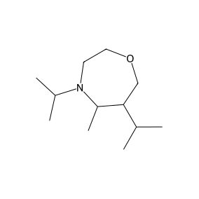 CC(C)C1COCCN(C(C)C)C1C